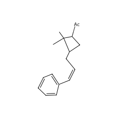 CC(=O)C1CC(C/C=C\c2ccccc2)C1(C)C